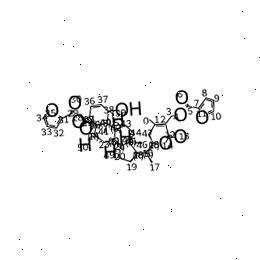 CC1=C(COC(=O)c2ccco2)C(=O)O[C@@H]([C@@H](C)[C@H]2CC[C@H]3[C@@H]4C[C@H]5O[C@]56[C@@H](OC(=O)c5ccco5)C=CC(O)[C@]6(C)[C@H]4CC[C@]23C)C1